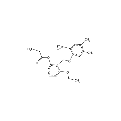 CCOc1cccc(OC(=O)CC)c1COc1cc(C)c(C)cc1C1CC1